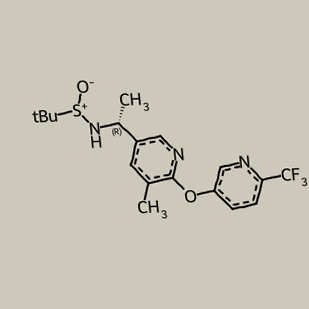 Cc1cc([C@@H](C)N[S+]([O-])C(C)(C)C)cnc1Oc1ccc(C(F)(F)F)nc1